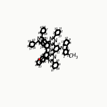 Cc1ccc2c(c1)c1ccccc1n2-c1cc(-c2nc(-c3ccccc3)nc(-c3ccccc3)n2)c(-n2c3ccc(-c4ccccc4)cc3c3cc(-c4cc(-c5ccccc5)nc(-c5ccccc5)c4)ccc32)c(-c2nc(-c3ccccc3)nc(-c3ccccc3)n2)c1